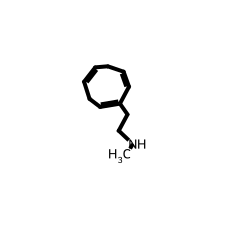 CNCCC1=CC/C=C\CC=C1